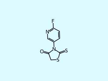 O=C1CSC(=S)N1c1ccc(F)nc1